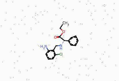 CCOC(=O)[C@@H](NCc1c(N)cccc1Cl)c1ccccc1